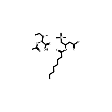 CCCCCCCC(=O)OC(CC(=O)[O-])C[N+](C)(C)C.CC[C@H](C)[C@H](NC(C)=O)C(=O)O